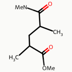 CNC(=O)C(C)CC(C)C(=O)OC